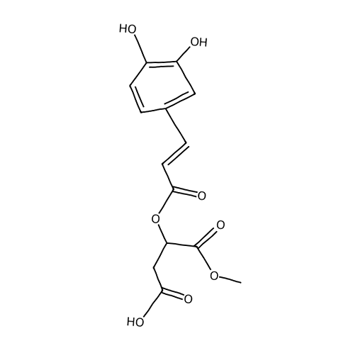 COC(=O)C(CC(=O)O)OC(=O)/C=C/c1ccc(O)c(O)c1